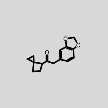 O=C(Cc1ccc2c(c1)OCO2)C1CCC12CC2